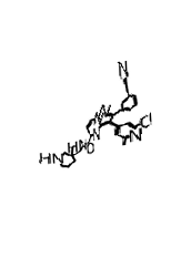 Cc1cc(-c2c(-c3cccc(C#N)c3)nn3ccc(C(=O)NCC4(C)CCCNC4)nc23)cc(Cl)n1